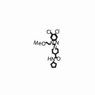 COCCn1c(N2CCC(C(=O)NC3CCCC3)CC2)nc2cc(Cl)c(Cl)cc21